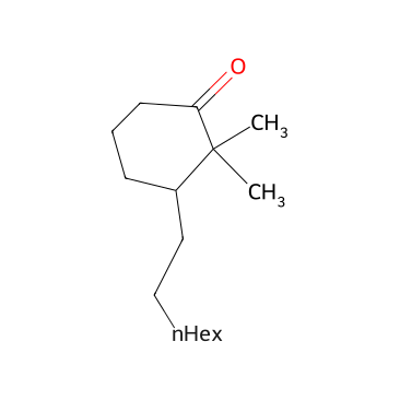 CCCCCCCCC1CCCC(=O)C1(C)C